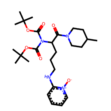 CC1CCN(C(=O)C(CCCNc2cccc[n+]2[O-])N(C(=O)OC(C)(C)C)C(=O)OC(C)(C)C)CC1